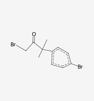 CC(C)(C(=O)CBr)c1ccc(Br)cc1